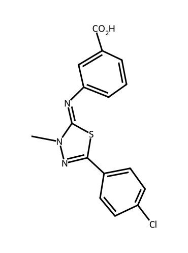 Cn1nc(-c2ccc(Cl)cc2)sc1=Nc1cccc(C(=O)O)c1